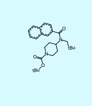 CC(C)(C)CN(C(=O)c1ccc2ccccc2c1)C1CCN(C(=O)OC(C)(C)C)CC1